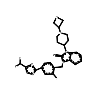 O=c1n(Cc2ccc(-c3nnc(C(F)F)o3)cc2F)c2ccccc2n1C1CCN(C2COC2)CC1